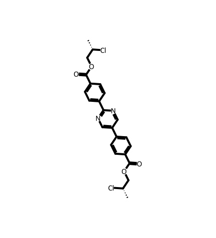 C[C@H](Cl)COC(=O)c1ccc(-c2cnc(-c3ccc(C(=O)OC[C@H](C)Cl)cc3)nc2)cc1